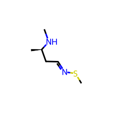 CN[C@H](C)C/C=N/SC